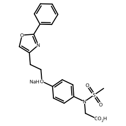 CS(=O)(=O)N(CC(=O)O)c1ccc(OCCc2coc(-c3ccccc3)n2)cc1.[NaH]